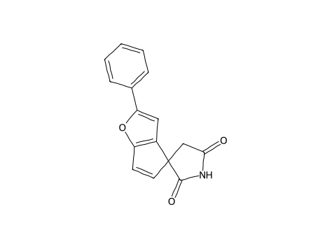 O=C1CC2(C=Cc3oc(-c4ccccc4)cc32)C(=O)N1